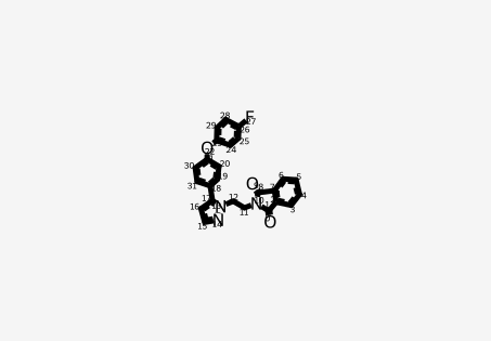 O=C1c2ccccc2C(=O)N1CCn1nccc1-c1ccc(Oc2ccc(F)cc2)cc1